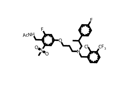 CC(=O)NCc1c(F)cc(OCCCN(Cc2cccc(C(F)(F)F)c2Cl)CC(C)c2ccc(F)cc2)cc1S(C)(=O)=O